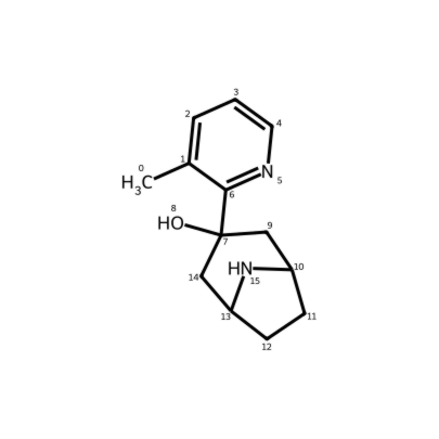 Cc1cccnc1C1(O)CC2CCC(C1)N2